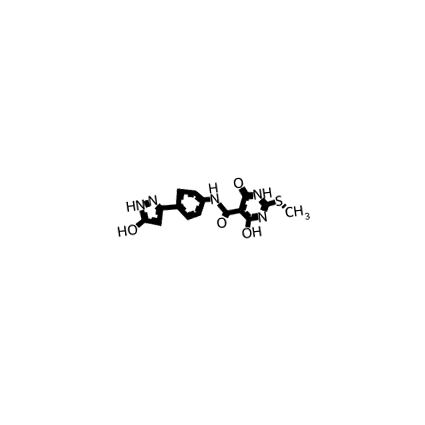 CSc1nc(O)c(C(=O)Nc2ccc(-c3cc(O)[nH]n3)cc2)c(=O)[nH]1